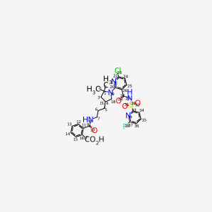 CC1(C)C[C@H](CCCNC(=O)c2ccccc2C(=O)O)CN1c1nc(Cl)ccc1C(=O)NS(=O)(=O)c1cccc(F)n1